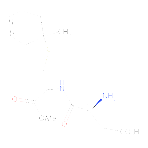 COC(=O)[C@H](CSC1(C)CC=CCC1)NC(=O)[C@@H](N)CC(=O)O